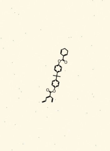 C=C/C=C(\C=C)C(=O)Oc1ccc(C(C)(C)c2ccc(OC(=O)C3=CCCC=C3)cc2)cc1